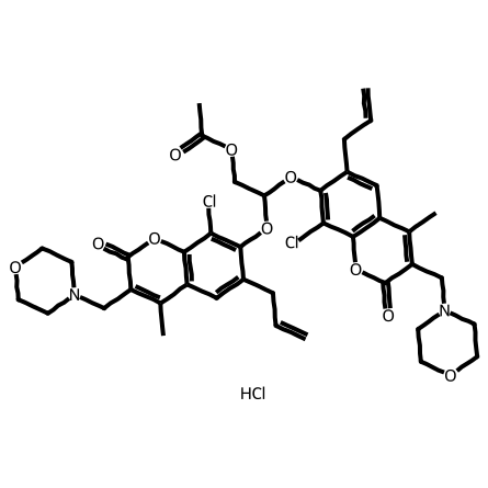 C=CCc1cc2c(C)c(CN3CCOCC3)c(=O)oc2c(Cl)c1OC(COC(C)=O)Oc1c(CC=C)cc2c(C)c(CN3CCOCC3)c(=O)oc2c1Cl.Cl